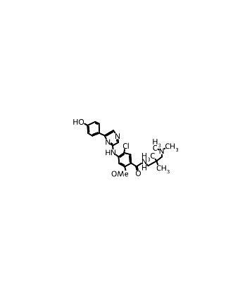 COc1cc(Nc2cncc(-c3ccc(O)cc3)n2)c(Cl)cc1C(=O)NCC(C)(C)CN(C)C